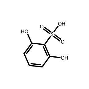 O=S(=O)(O)c1c(O)[c]ccc1O